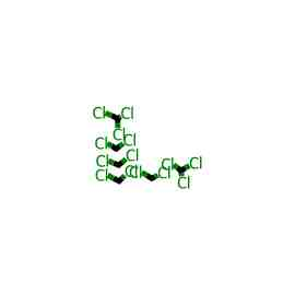 ClC(Cl)Cl.ClC(Cl)Cl.ClCCl.ClCCl.ClCCl.ClCCl